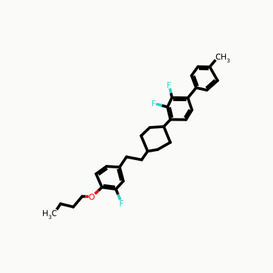 CCCCOc1ccc(CCC2CCC(c3ccc(-c4ccc(C)cc4)c(F)c3F)CC2)cc1F